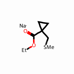 CCOC(=O)C1(CSC)CC1.[Na]